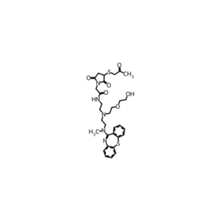 CC(=O)CSC1CC(=O)N(CC(=O)NCCN(CCOCCO)CCN(C)C2=Nc3ccccc3Sc3ccccc32)C1=O